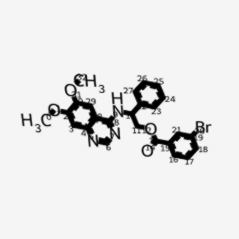 COc1cc2ncnc(NC(COC(=O)c3cccc(Br)c3)c3ccccc3)c2cc1OC